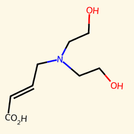 O=C(O)C=CCN(CCO)CCO